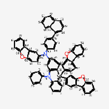 c1ccc(N2c3ccccc3[Si](c3ccc4c(c3)oc3ccccc34)(c3ccc4c(c3)oc3ccccc34)c3ccc(N(c4ccc(-c5cccc6ccccc56)cc4)c4ccc5oc6ccccc6c5c4)cc32)cc1